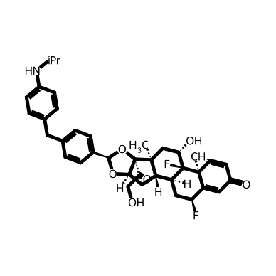 CC(C)Nc1ccc(Cc2ccc([C@@H]3O[C@@H]4C[C@H]5[C@@H]6C[C@H](F)C7=CC(=O)C=C[C@]7(C)[C@@]6(F)[C@@H](O)C[C@]5(C)[C@]4(C(=O)CO)O3)cc2)cc1